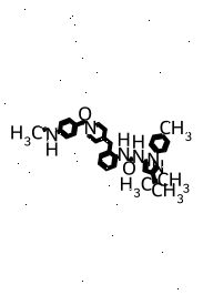 CCNc1ccc(C(=O)N2CCC(Cc3ccccc3NC(=O)Nc3cc(C(C)(C)C)nn3-c3ccc(C)cc3)CC2)cc1